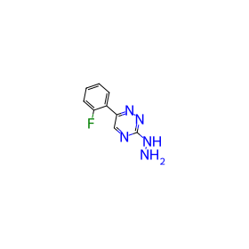 NNc1ncc(-c2ccccc2F)nn1